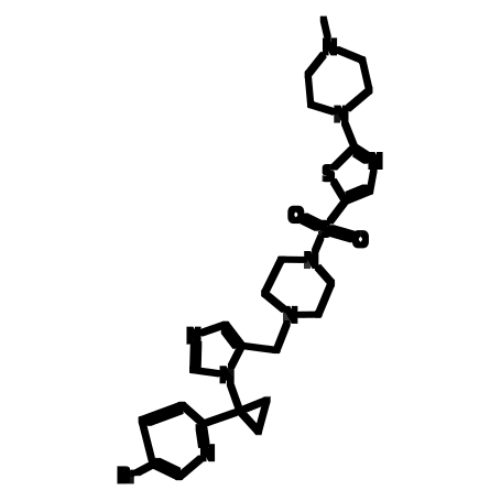 CN1CCN(c2ncc(S(=O)(=O)N3CCN(Cc4cncn4C4(c5ccc(Br)cn5)CC4)CC3)s2)CC1